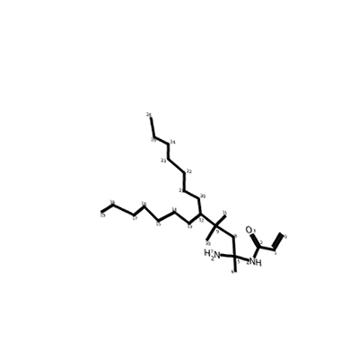 C=CC(=O)NC(C)(N)CC(C)(C)C(CCCCCCC)CCCCCCC